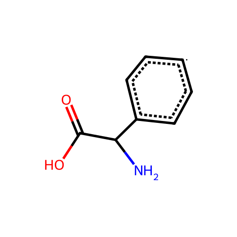 NC(C(=O)O)c1cc[c]cc1